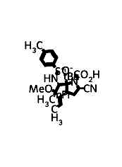 CC=C[C@@H]1C[C@H](C#N)N(C(=O)O)C1([C@@H](N[S+]([O-])c1ccc(C)cc1)[C@](C)(CCC)OC)C(C)(C)C